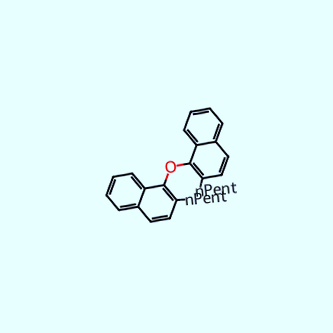 CCCCCc1ccc2ccccc2c1Oc1c(CCCCC)ccc2ccccc12